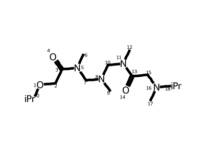 CC(C)OCC(=O)N(C)CN(C)CN(C)C(=O)CN(C)C(C)C